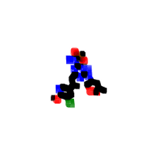 COc1ncc(C(C)Cc2nc(NC(CO)CC(C)C)nc(NS(C)(=O)=O)n2)cc1Cl